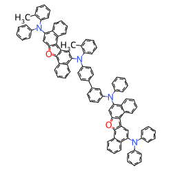 Cc1ccccc1N(c1ccc(-c2cccc(N(c3ccccc3)c3cc4oc5c6ccccc6c(N(c6ccccc6)c6ccccc6)cc5c4c4ccccc34)c2)cc1)c1cc2c(oc3cc(N(c4ccccc4)c4ccccc4C)c4ccccc4c32)c2ccccc12